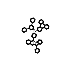 c1ccc(-c2cc(-c3ccccc3)cc(N(c3ccc(-c4c5ccccc5cc5c(-c6ccccc6)c6ccccc6n45)cc3)c3ccc4c5ccccc5c5ccccc5c4c3)c2)cc1